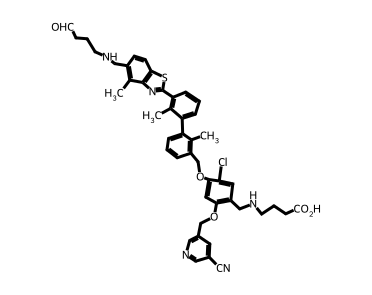 Cc1c(COc2cc(OCc3cncc(C#N)c3)c(CNCCCC(=O)O)cc2Cl)cccc1-c1cccc(-c2nc3c(C)c(CNCCCC=O)ccc3s2)c1C